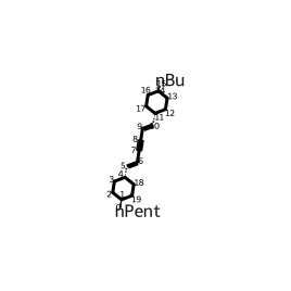 CCCCC[C@H]1CC[C@H](C=CC#CC=C[C@H]2CC[C@H](CCCC)CC2)CC1